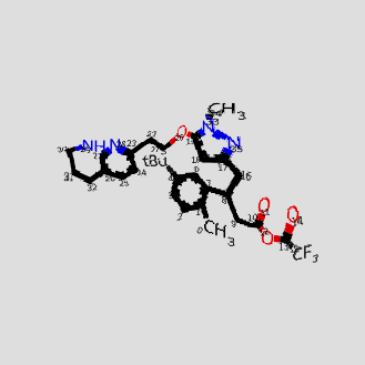 Cc1ccc(C(C)(C)C)cc1C(CC(=O)OC(=O)C(F)(F)F)Cc1cc(OCCc2ccc3c(n2)NCCC3)n(C)n1